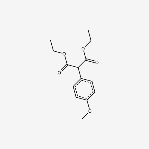 CCOC(=O)C(C(=O)OCC)c1ccc(OC)cc1